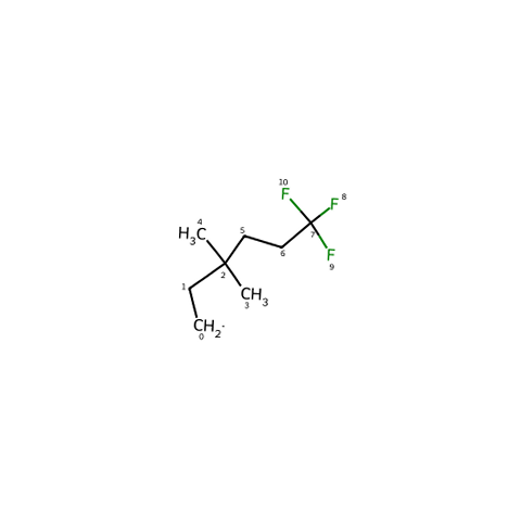 [CH2]CC(C)(C)CCC(F)(F)F